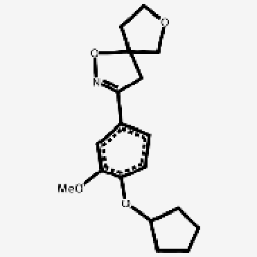 COc1cc(C2=NOC3(CCOC3)C2)ccc1OC1CCCC1